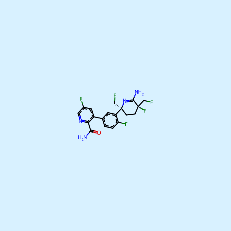 NC(=O)c1ncc(F)cc1-c1ccc(F)c([C@]2(CF)CC[C@@](F)(CF)C(N)=N2)c1